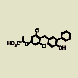 C[C@H](Oc1cc(Cl)c(Cc2ccc(O)c(-c3ccccc3)c2)c(Cl)c1)C(=O)O